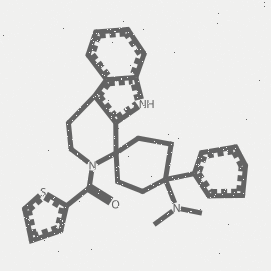 CN(C)C1(c2ccccc2)CCC2(CC1)c1[nH]c3ccccc3c1CCN2C(=O)c1cccs1